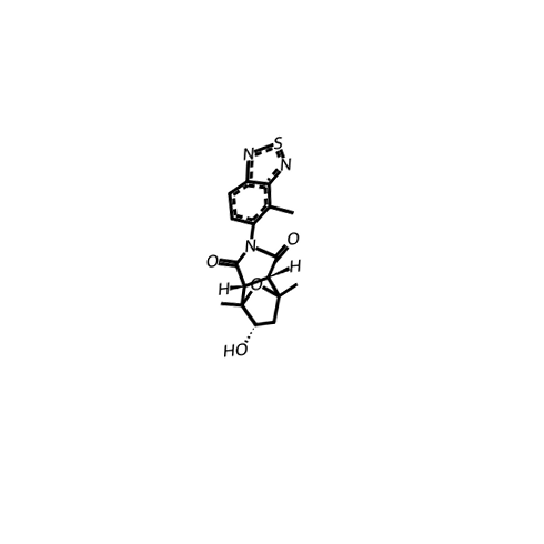 Cc1c(N2C(=O)[C@@H]3[C@H](C2=O)C2(C)C[C@H](O)C3(C)O2)ccc2nsnc12